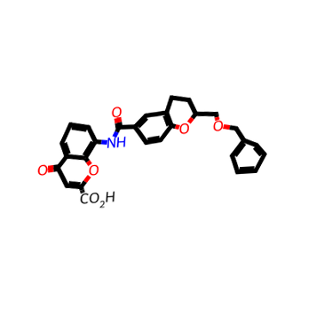 O=C(Nc1cccc2c(=O)cc(C(=O)O)oc12)c1ccc2c(c1)CCC(COCc1ccccc1)O2